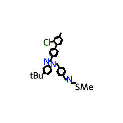 CSCC/N=C/c1ccc(Cn2c(-c3ccc(C4C=CC(C)=CC4Cl)cc3)nc3cc(C(C)(C)C)ccc32)cc1